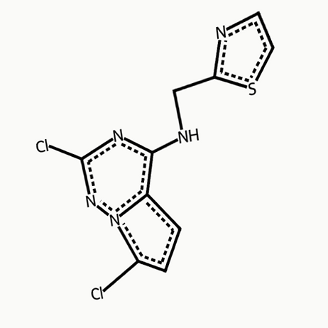 Clc1nc(NCc2nccs2)c2ccc(Cl)n2n1